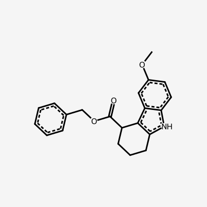 COc1ccc2[nH]c3c(c2c1)C(C(=O)OCc1ccccc1)CCC3